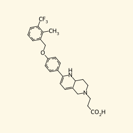 Cc1c(COc2ccc(C3=CC=C4CN(CCC(=O)O)CCC4N3)cc2)cccc1C(F)(F)F